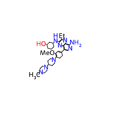 CCc1nc2c(N)ncc(C3=CC(OC)=C(N4CCC(N5CCN(C)CC5)CC4)CC3)c2nc1NC1CCCC(O)C1